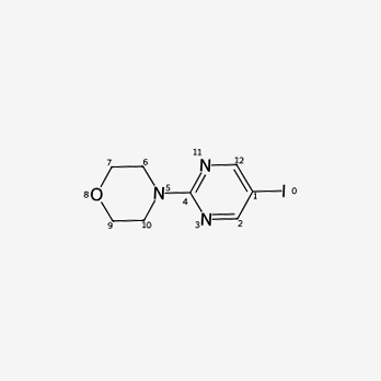 Ic1cnc(N2CCOCC2)nc1